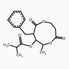 CC(C)C(=O)OC1C(C)OC(=O)CCOC(=O)C1Cc1ccccc1